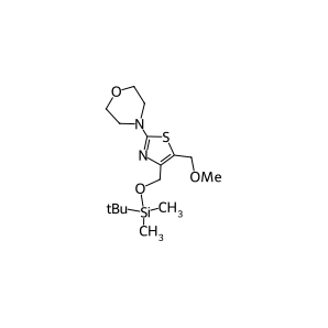 COCc1sc(N2CCOCC2)nc1CO[Si](C)(C)C(C)(C)C